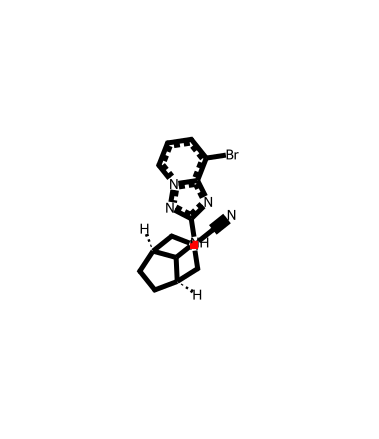 N#CN1C[C@H]2CC[C@@H](C1)C2Nc1nc2c(Br)cccn2n1